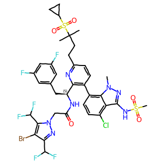 Cn1nc(NS(C)(=O)=O)c2c(Cl)ccc(-c3ccc(CCC(C)(C)S(=O)(=O)C4CC4)nc3[C@H](Cc3cc(F)cc(F)c3)NC(=O)Cn3nc(C(F)F)c(Br)c3C(F)F)c21